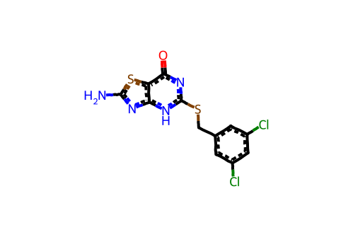 Nc1nc2[nH]c(SCc3cc(Cl)cc(Cl)c3)nc(=O)c2s1